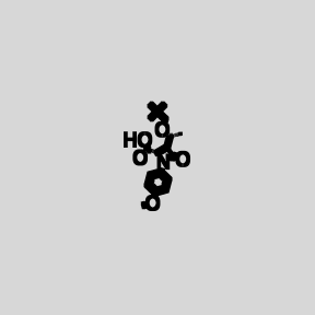 COc1ccc(N2C(=O)[C@H]([C@@H](C)OCC(C)(C)C)[C@H]2C(=O)O)cc1